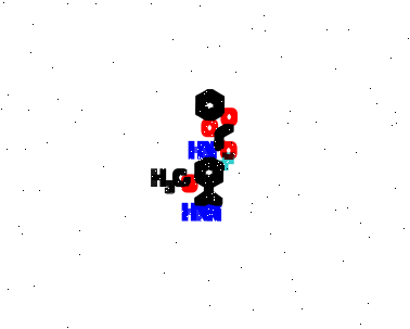 COc1cc(NC(=O)C2COc3ccccc3O2)c(F)cc1-c1cn[nH]c1